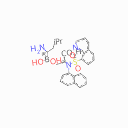 CC(C)C[C@H](N)B(O)O.C[C@@H](C(=O)O)N(c1cccc2ccccc12)S(=O)(=O)c1cccc2cccnc12